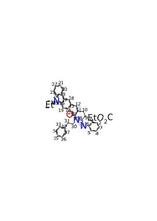 CCOC(=O)c1ccccc1/N=C1\CC/C(=C/c2ccc3c(c2)c2ccccc2n3CC)C(=O)N1CCc1ccccc1